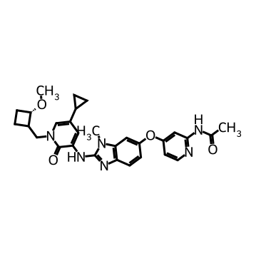 CO[C@H]1CCC1Cn1cc(C2CC2)cc(Nc2nc3ccc(Oc4ccnc(NC(C)=O)c4)cc3n2C)c1=O